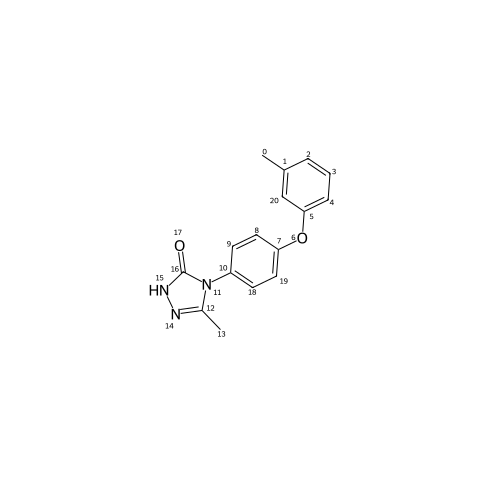 Cc1cccc(Oc2ccc(-n3c(C)n[nH]c3=O)cc2)c1